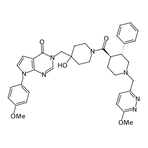 COc1ccc(-n2ccc3c(=O)n(CC4(O)CCN(C(=O)[C@@H]5CCN(Cc6ccc(OC)nn6)C[C@H]5c5ccccc5)CC4)cnc32)cc1